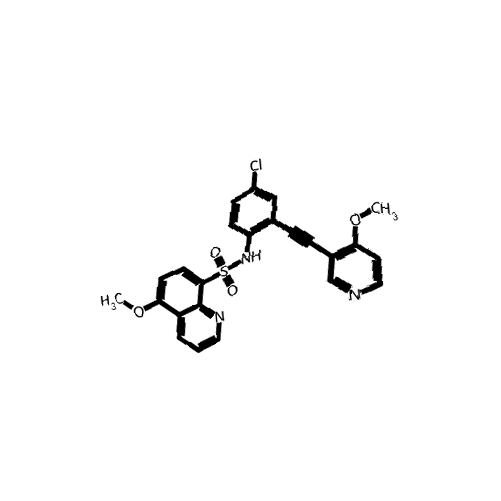 COc1ccncc1C#Cc1cc(Cl)ccc1NS(=O)(=O)c1ccc(OC)c2cccnc12